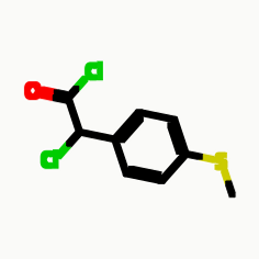 CSc1ccc(C(Cl)C(=O)Cl)cc1